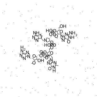 CO[C@H]1C(O)[C@@H](COP(=O)(O)OC2[C@@H](COP(=O)(O)OC3CN(CC4=CCc5c(N)ncnc54)C[C@@H]3COP(=O)(O)OC3[C@@H](CO)O[C@@H](n4cnc5c(=O)[nH]c(N)nc54)[C@H]3OC)O[C@@H](Cn3cnc4c(=O)[nH]c(C)nc43)[C@H]2OC)O[C@H]1Cn1cnc2c(N)ncnc21